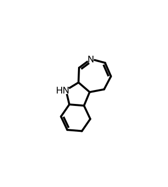 C1=CC2NC3C=NC=CCC3C2CC1